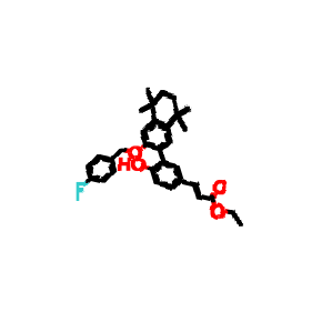 CCOC(=O)/C=C/c1ccc(O)c(-c2cc3c(cc2OCc2ccc(F)cc2)C(C)(C)CCC3(C)C)c1